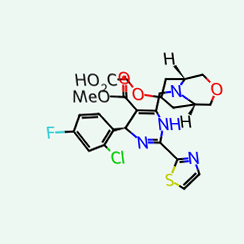 COC(=O)C1=C(CN2[C@@H]3COC[C@H]2CC(OCC(=O)O)C3)NC(c2nccs2)=N[C@H]1c1ccc(F)cc1Cl